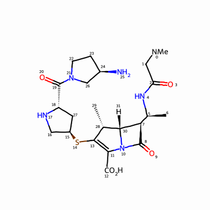 CNCC(=O)N[C@@H](C)[C@H]1C(=O)N2C(C(=O)O)=C(S[C@H]3CN[C@H](C(=O)N4CC[C@@H](N)C4)C3)[C@H](C)[C@H]12